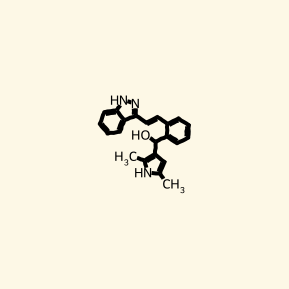 Cc1cc(C(O)c2ccccc2C=Cc2n[nH]c3ccccc23)c(C)[nH]1